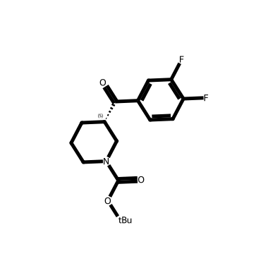 CC(C)(C)OC(=O)N1CCC[C@H](C(=O)c2ccc(F)c(F)c2)C1